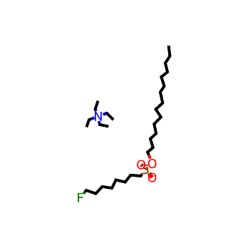 CCCCCCCCCCCCCCCOS(=O)(=O)CCCCCCCCF.CC[N+](CC)(CC)CC